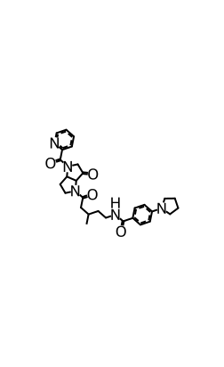 CC(CCNC(=O)c1ccc(N2CCCC2)cc1)CC(=O)N1CCC2C1C(=O)CN2C(=O)c1ccccn1